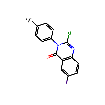 O=c1c2cc(I)ccc2nc(Cl)n1-c1ccc(C(F)(F)F)cc1